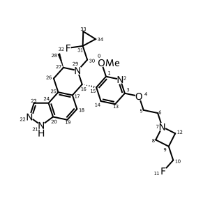 COc1nc(OCCN2CC(CF)C2)ccc1[C@@H]1c2ccc3[nH]ncc3c2C[C@@H](C)N1CC1(F)CC1